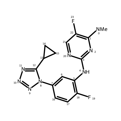 CNc1nc(Nc2cc(-n3nnnc3C3CC3)ccc2F)ncc1F